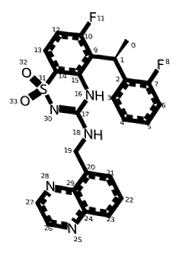 C[C@@H](c1ccccc1F)c1c(F)ccc2c1NC(NCc1cccc3nccnc13)=NS2(=O)=O